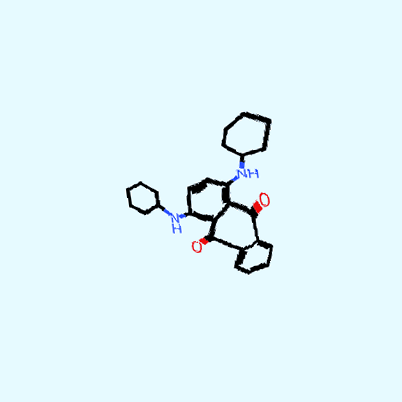 O=C1c2ccccc2C(=O)c2c(NC3CCCCC3)ccc(NC3CCCCC3)c21